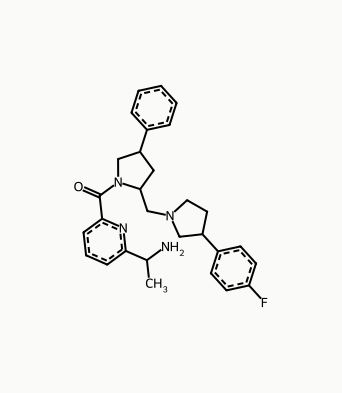 CC(N)c1cccc(C(=O)N2CC(c3ccccc3)CC2CN2CCC(c3ccc(F)cc3)C2)n1